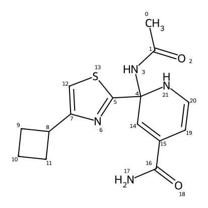 CC(=O)NC1(c2nc(C3CCC3)cs2)C=C(C(N)=O)C=CN1